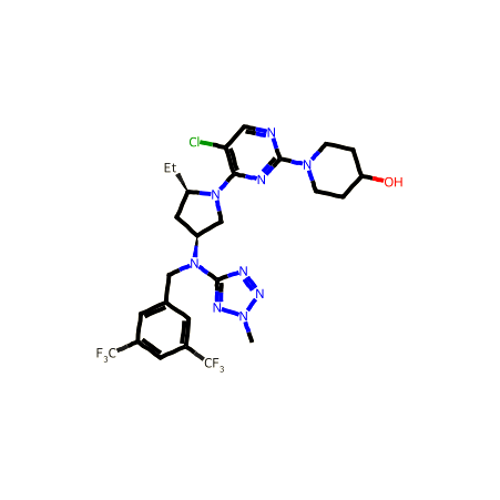 CC[C@@H]1C[C@H](N(Cc2cc(C(F)(F)F)cc(C(F)(F)F)c2)c2nnn(C)n2)CN1c1nc(N2CCC(O)CC2)ncc1Cl